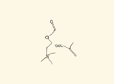 C=C(C)C(=O)[O-].C[N+](C)(C)CCOP=O